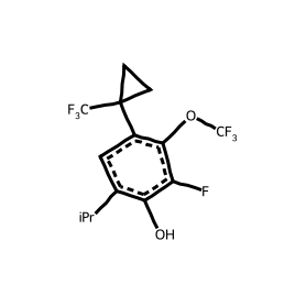 CC(C)c1cc(C2(C(F)(F)F)CC2)c(OC(F)(F)F)c(F)c1O